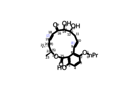 CCCOc1ccc(O)c2c1/C=C/C[C@H](O)[C@H](O)C(=O)/C=C\[C@@H](C)[C@H](C)OC2=O